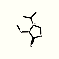 CSN1C(=O)OC[C@@H]1C(C)C